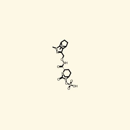 CN1N=C(CONC(=O)[C@@H]2CCC3CN2C(=O)N3OS(=O)(=O)O)C2C1C1CCC2N1C